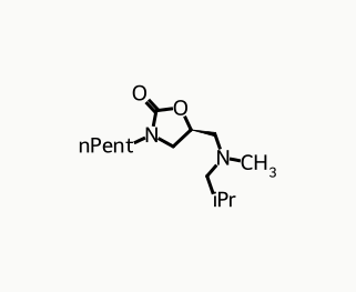 CCCCCN1C[C@H](CN(C)CC(C)C)OC1=O